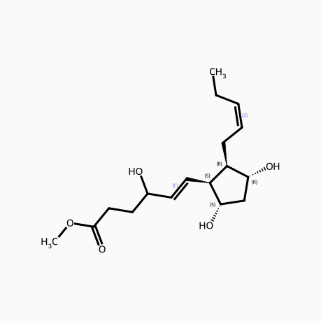 CC/C=C\C[C@@H]1[C@H](/C=C/C(O)CCC(=O)OC)[C@@H](O)C[C@H]1O